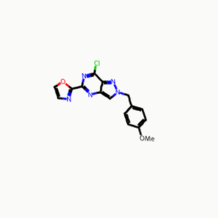 COc1ccc(Cn2cc3nc(-c4ncco4)nc(Cl)c3n2)cc1